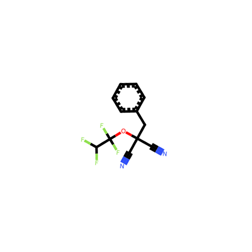 N#CC(C#N)(Cc1ccccc1)OC(F)(F)C(F)F